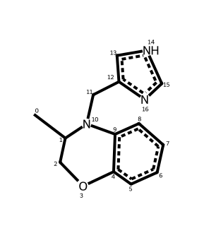 CC1COc2ccccc2N1Cc1c[nH]cn1